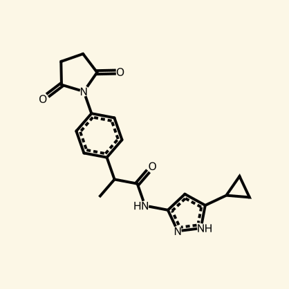 CC(C(=O)Nc1cc(C2CC2)[nH]n1)c1ccc(N2C(=O)CCC2=O)cc1